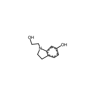 OCCN1CCc2ccc(O)cc21